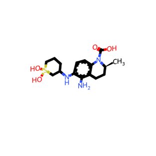 C[C@H]1CCc2c(ccc(NC3CCCS(O)(O)C3)c2N)N1C(=O)O